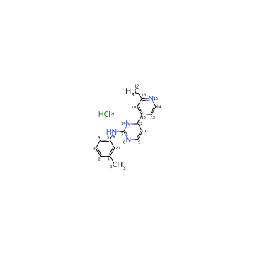 Cc1cccc(Nc2nccc(-c3ccnc(C)c3)n2)c1.Cl